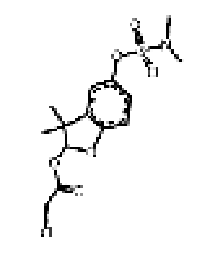 CN(C)S(=O)(=O)Oc1ccc2c(c1)C(C)(C)C(OC(=O)CCl)O2